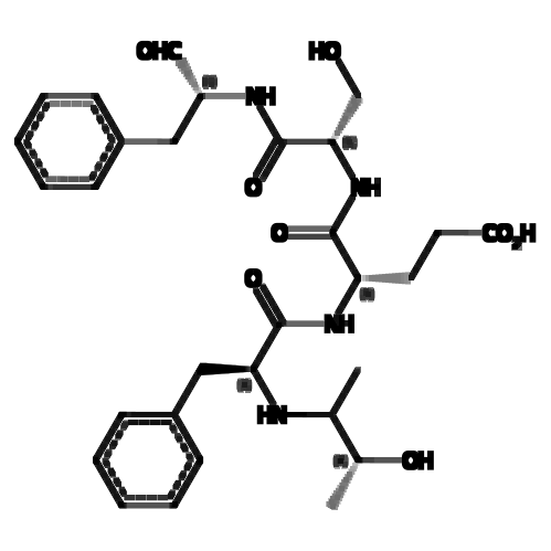 CC(N[C@@H](Cc1ccccc1)C(=O)N[C@@H](CCC(=O)O)C(=O)N[C@@H](CO)C(=O)N[C@@H](C=O)Cc1ccccc1)[C@@H](C)O